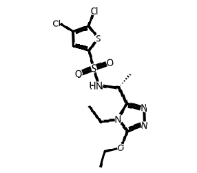 CCOc1nnc([C@@H](C)NS(=O)(=O)c2cc(Cl)c(Cl)s2)n1CC